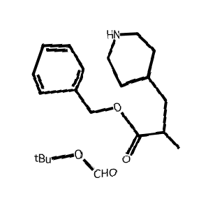 CC(C)(C)OC=O.CC(CC1CCNCC1)C(=O)OCc1ccccc1